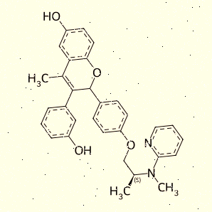 CC1=C(c2cccc(O)c2)C(c2ccc(OC[C@H](C)N(C)c3ccccn3)cc2)Oc2ccc(O)cc21